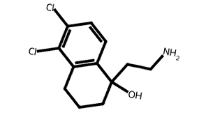 NCCC1(O)CCCc2c1ccc(Cl)c2Cl